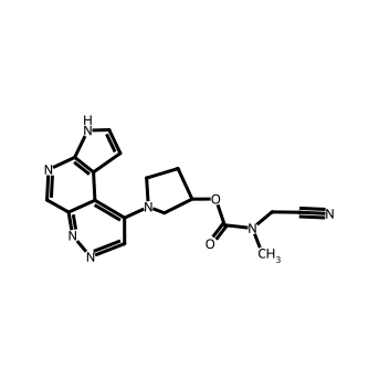 CN(CC#N)C(=O)OC1CCN(c2cnnc3cnc4[nH]ccc4c23)C1